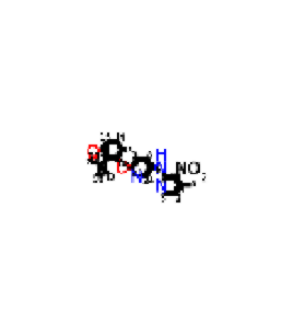 Cc1ccnc(Nc2ccc(Oc3cccc4c3C3(CC3)CO4)nc2)c1[N+](=O)[O-]